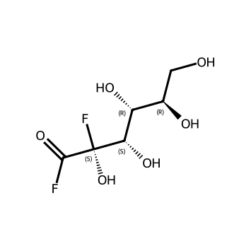 O=C(F)[C@@](O)(F)[C@@H](O)[C@H](O)[C@H](O)CO